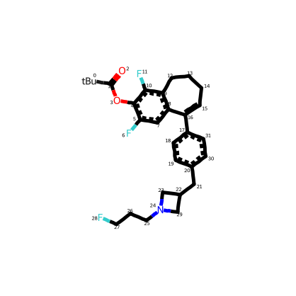 CC(C)(C)C(=O)Oc1c(F)cc2c(c1F)CCCC=C2c1ccc(CC2CN(CCCF)C2)cc1